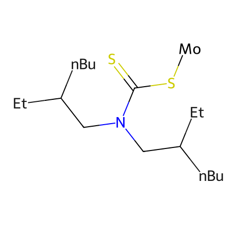 CCCCC(CC)CN(CC(CC)CCCC)C(=S)[S][Mo]